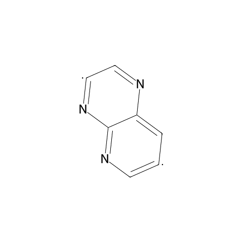 [c]1cnc2n[c]cnc2c1